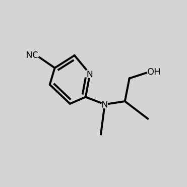 CC(CO)N(C)c1ccc(C#N)cn1